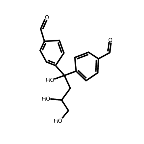 O=Cc1ccc(C(O)(CC(O)CO)c2ccc(C=O)cc2)cc1